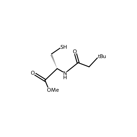 COC(=O)[C@H](CS)NC(=O)CC(C)(C)C